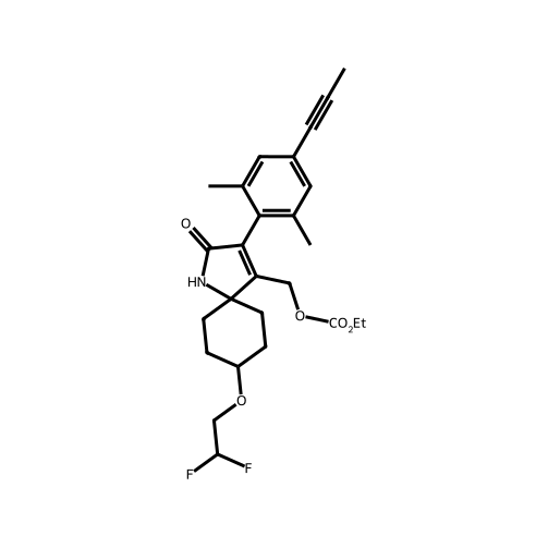 CC#Cc1cc(C)c(C2=C(COC(=O)OCC)C3(CCC(OCC(F)F)CC3)NC2=O)c(C)c1